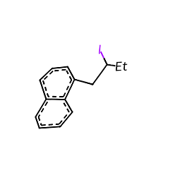 CCC(I)Cc1cccc2ccccc12